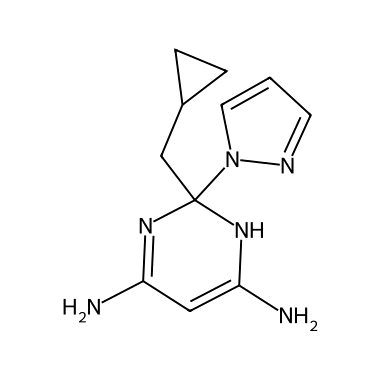 NC1=CC(N)=NC(CC2CC2)(n2cccn2)N1